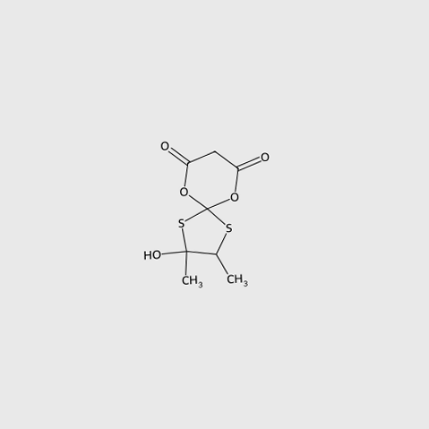 CC1SC2(OC(=O)CC(=O)O2)SC1(C)O